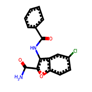 NC(=O)c1oc2ccc(Cl)cc2c1NC(=O)c1ccccc1